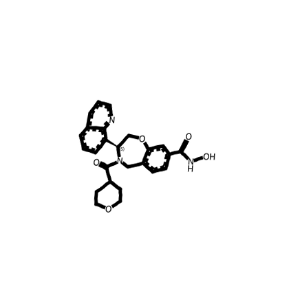 O=C(NO)c1ccc2c(c1)OC[C@H](c1cccc3cccnc13)N(C(=O)C1CCOCC1)C2